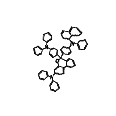 c1ccc(N(c2ccccc2)c2ccc(C3(c4ccc(N(c5ccccc5)c5cccc6ccccc56)cc4)Oc4cc(N(c5ccccc5)c5ccccc5)ccc4-c4ccccc43)cc2)cc1